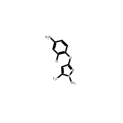 Cn1nc(Oc2c[c]c([N+](=O)[O-])cc2Cl)cc1C(F)(F)F